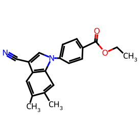 CCOC(=O)c1ccc(-n2cc(C#N)c3cc(C)c(C)cc32)cc1